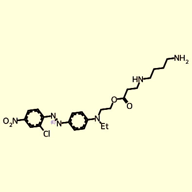 CCN(CCOC(=O)CCNCCCCN)c1ccc(/N=N/c2ccc([N+](=O)[O-])cc2Cl)cc1